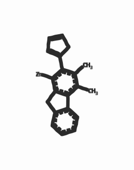 Cc1c(C)c2c([c]([Zr])c1C1=CC=CC1)Cc1ccccc1-2